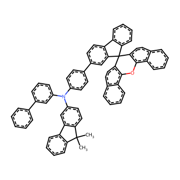 CC1(C)c2ccccc2-c2cc(N(c3ccc(-c4ccc5c(c4)C4(c6ccccc6-5)c5ccc6ccccc6c5Oc5c4ccc4ccccc54)cc3)c3cccc(-c4ccccc4)c3)ccc21